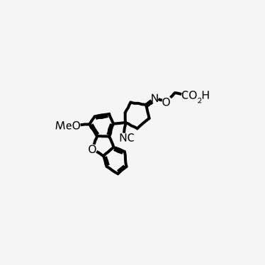 [C-]#[N+]C1(c2ccc(OC)c3oc4ccccc4c23)CCC(=NOCC(=O)O)CC1